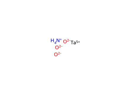 [NH4+].[O-2].[O-2].[O-2].[Ta+5]